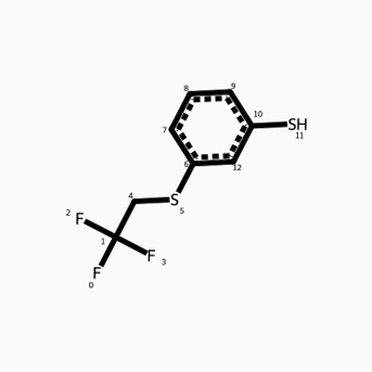 FC(F)(F)CSc1cccc(S)c1